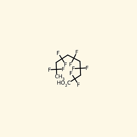 CC(F)(F)CC(F)(F)CC(F)(F)CC(F)(F)CC(F)(F)C(=O)O